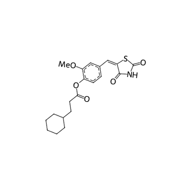 COc1cc(C=C2SC(=O)NC2=O)ccc1OC(=O)CCC1CCCCC1